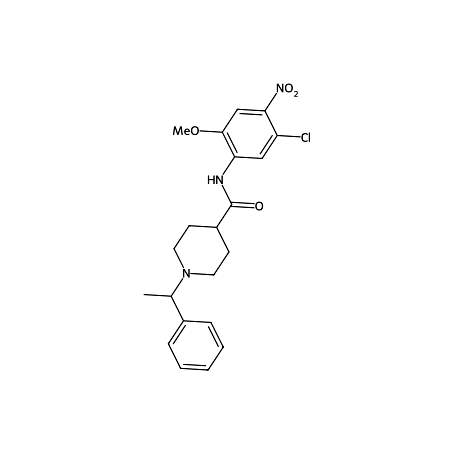 COc1cc([N+](=O)[O-])c(Cl)cc1NC(=O)C1CCN(C(C)c2ccccc2)CC1